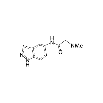 CNCC(=O)Nc1ccc2[nH]ncc2c1